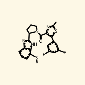 CSc1cccc2nc(C3CCCN3C(=O)c3nc(C)sc3-c3cc(F)cc(F)c3)[nH]c12